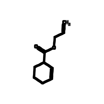 C=CCOC(=O)C1C=CCCC1